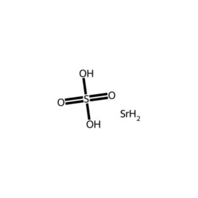 O=S(=O)(O)O.[SrH2]